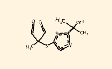 CC(C=O)(C=O)Sc1cnc(C(C)(C)O)s1